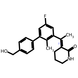 C/C(=C1/CCCNC1=O)c1cc(F)cc(-c2ccc(CO)cc2)c1C